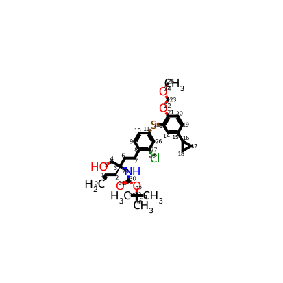 C=CC[C@@](CO)(CCc1ccc(Sc2cc(C3CC3)ccc2OCOC)cc1Cl)NC(=O)OC(C)(C)C